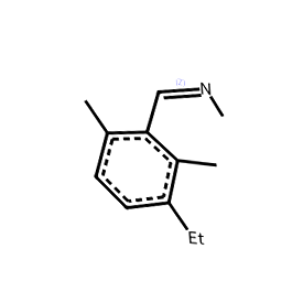 CCc1ccc(C)c(/C=N\C)c1C